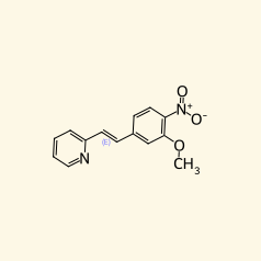 COc1cc(/C=C/c2ccccn2)ccc1[N+](=O)[O-]